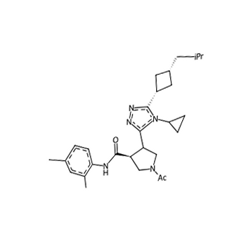 CC(=O)N1CC(c2nnc([C@H]3C[C@@H](CC(C)C)C3)n2C2CC2)[C@H](C(=O)Nc2ccc(C)cc2C)C1